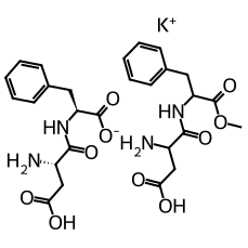 COC(=O)C(Cc1ccccc1)NC(=O)C(N)CC(=O)O.N[C@@H](CC(=O)O)C(=O)N[C@@H](Cc1ccccc1)C(=O)[O-].[K+]